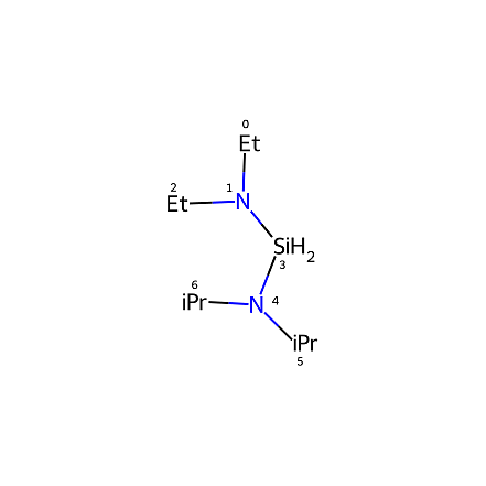 CCN(CC)[SiH2]N(C(C)C)C(C)C